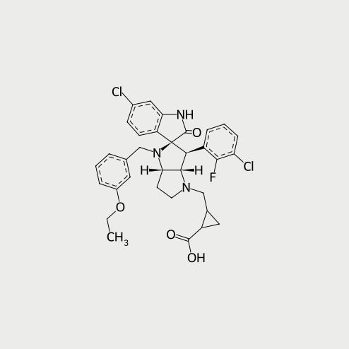 CCOc1cccc(CN2[C@H]3CCN(CC4CC4C(=O)O)[C@H]3[C@H](c3cccc(Cl)c3F)[C@]23C(=O)Nc2cc(Cl)ccc23)c1